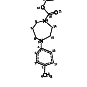 Cc1ccc(N2CCCN(C(=O)OC(C)(C)C)CC2)cc1